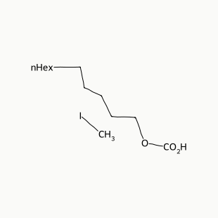 CCCCCCCCCCCOC(=O)O.CI